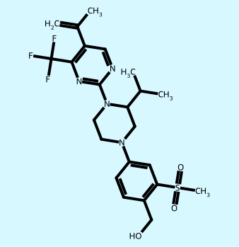 C=C(C)c1cnc(N2CCN(c3ccc(CO)c(S(C)(=O)=O)c3)CC2C(C)C)nc1C(F)(F)F